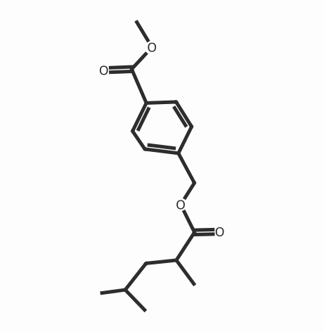 COC(=O)c1ccc(COC(=O)C(C)CC(C)C)cc1